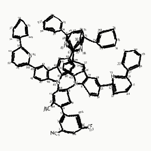 N#Cc1cc(-c2cc(-n3c4ccc(-c5cccc(-c6ccccc6)n5)cc4c4cc(-c5cccc(-c6ccccc6)n5)ccc43)c(-n3c4ccc(-c5cccc(-c6ccccc6)n5)cc4c4cc(-c5cccc(-c6ccccc6)n5)ccc43)cc2C#N)cc(C(F)(F)F)c1